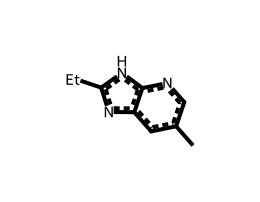 CCc1nc2cc(C)cnc2[nH]1